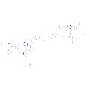 Cc1ncsc1-c1ccc([C@H](C)NC(=O)[C@@H]2C[C@@H](C)CN2C(=O)[C@@H](NC(=O)CCCCCC(=O)N2CCN(CCCNc3ccc(S(=O)(=O)NC(=O)c4ccc(N5CCN(CC6=C(c7ccc(Cl)cc7)CC(C)(C)CC6)CC5)cc4N4CCCOc5nc6c(ccn6COCC[Si](C)(C)C)cc54)cc3[N+](=O)[O-])CC2)C(C)(C)C)cc1